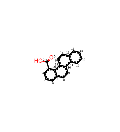 O=C(O)c1cccc2ccc3c4ccccc4ccc3c12